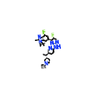 C=C(c1ccc(Nc2ncc(F)c(-c3cc(F)c4nc(C)n(C(C)C)c4c3)n2)nc1)[C@@H]1CCN(CC)C1